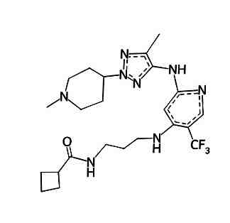 Cc1nn(C2CCN(C)CC2)nc1Nc1cc(NCCCNC(=O)C2CCC2)c(C(F)(F)F)cn1